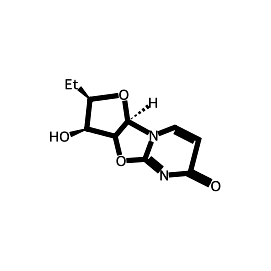 CC[C@H]1O[C@@H]2C(Oc3nc(=O)ccn32)[C@H]1O